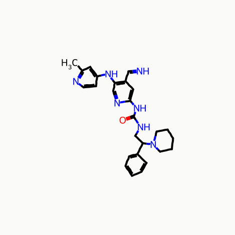 Cc1cc(Nc2cnc(NC(=O)NCC(c3ccccc3)N3CCCCC3)cc2C=N)ccn1